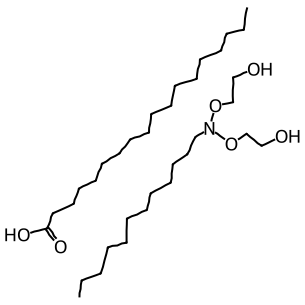 CCCCCCCCCCCCCCCCCC(=O)O.CCCCCCCCCCCCN(OCCO)OCCO